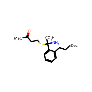 CCCCCCCCCCCCc1ccccc1C(N)(SCCC(=O)OC)C(=O)O